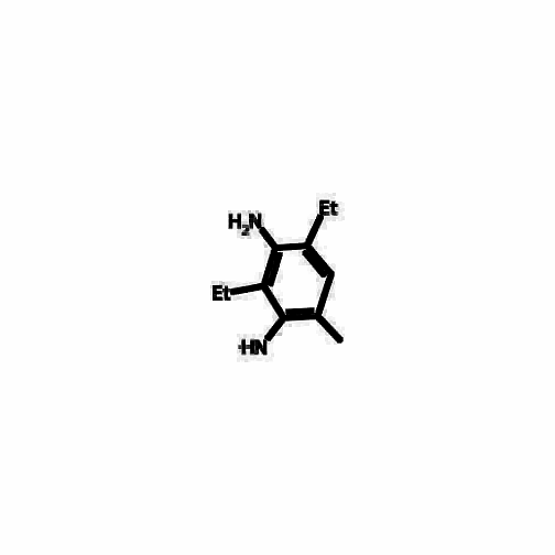 CCc1cc(C)c([NH])c(CC)c1N